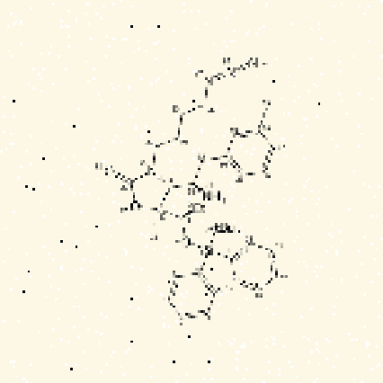 CC[C@@H](O[Si](c1ccccc1)(c1ccccc1)C(C)(C)C)[C@@]1(C)OC(=O)N(CCCCN=[N+]=[N-])[C@@H]1[C@H](N)Cc1cccc(C)c1